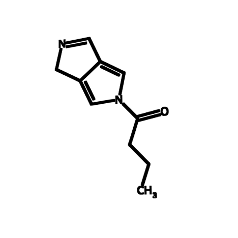 CCCC(=O)n1cc2c(c1)CN=C2